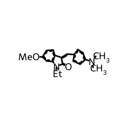 CCN1C(=O)/C(=C\c2ccc(N(C)C)cc2)c2ccc(OC)cc21